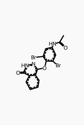 CC(=O)Nc1cc(Br)c(Oc2n[nH]c(=O)c3ccccc23)c(Br)c1